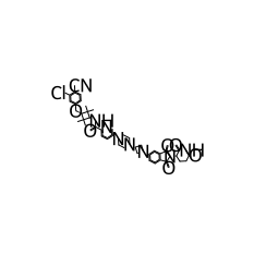 CC1(C)[C@H](NC(=O)c2ccc(N3CCN(C4CN(c5ccc6c(c5)C(=O)N(C5CCC(=O)NC5=O)C6=O)C4)CC3)cn2)C(C)(C)[C@H]1Oc1ccc(C#N)c(Cl)c1